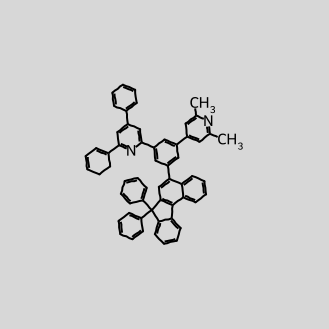 Cc1cc(-c2cc(-c3cc(-c4ccccc4)cc(C4=CC=CCC4)n3)cc(-c3cc4c(c5ccccc35)-c3ccccc3C4(c3ccccc3)c3ccccc3)c2)cc(C)n1